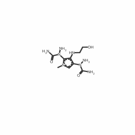 Cn1cc(N(N)C(N)=O)c(NCCO)c1N(N)C(N)=O